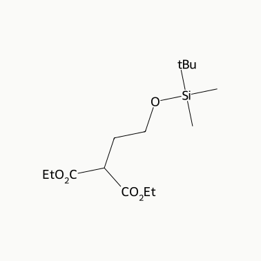 CCOC(=O)C(CCO[Si](C)(C)C(C)(C)C)C(=O)OCC